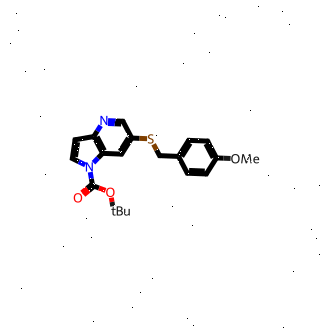 COc1ccc(CSc2cnc3ccn(C(=O)OC(C)(C)C)c3c2)cc1